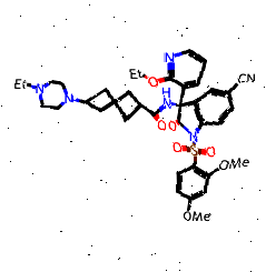 CCOc1ncccc1[C@@]1(NC(=O)C2CC3(C2)CC(N2CCN(CC)CC2)C3)C(=O)N(S(=O)(=O)c2ccc(OC)cc2OC)c2ccc(C#N)cc21